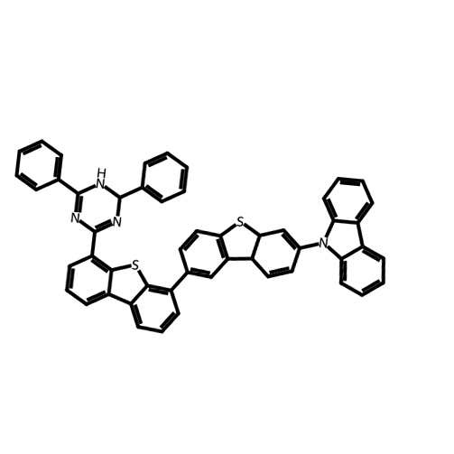 C1=CC2c3cc(-c4cccc5c4sc4c(C6=NC(c7ccccc7)NC(c7ccccc7)=N6)cccc45)ccc3SC2C=C1n1c2ccccc2c2ccccc21